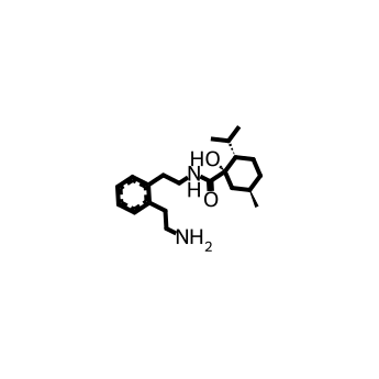 CC(C)[C@@H]1CC[C@@H](C)C[C@@]1(O)C(=O)NCCc1ccccc1CCN